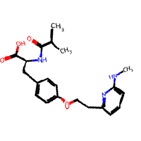 CNc1cccc(CCOc2ccc(C[C@H](NC(=O)C(C)C)C(=O)O)cc2)n1